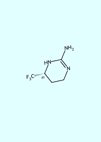 NC1=NCC[C@H](C(F)(F)F)N1